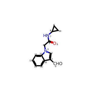 O=Cc1cn(CC(=O)NC2CC2)c2ccccc12